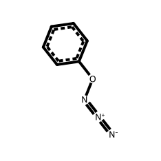 [N-]=[N+]=NOc1ccccc1